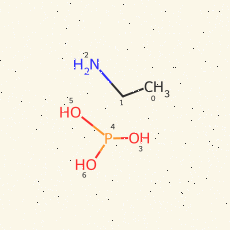 CCN.OP(O)O